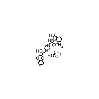 CC(=O)O.Cc1cccc(C)c1NC(=O)CN1CCN(CC(O)C2COc3ccccc3O2)CC1